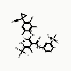 Cc1cc(C2(C#N)CC2)c(F)c(C)c1Oc1nnc(C(F)(F)F)c(C)c1C(=O)Nc1cccc(S(C)(=O)=O)c1